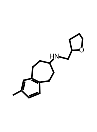 Cc1ccc2c(c1)CCC(NCC1CCCO1)CC2